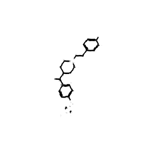 CS(=O)(=O)Nc1ccc(C(O)C2CCN(CCc3ccc(F)cc3)CC2)cc1